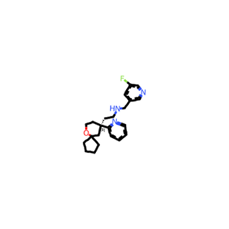 Fc1cncc(CNCC[C@@]2(c3ccccn3)CCOC3(CCCC3)C2)c1